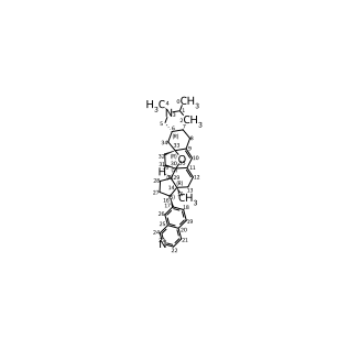 CC(C)N(C)C[C@@H]1CCC2=CC3=CC[C@]4(C)[C@@H](c5ccc6ccncc6c5)CC[C@H]4[C@@]34CC[C@]2(C1)O4